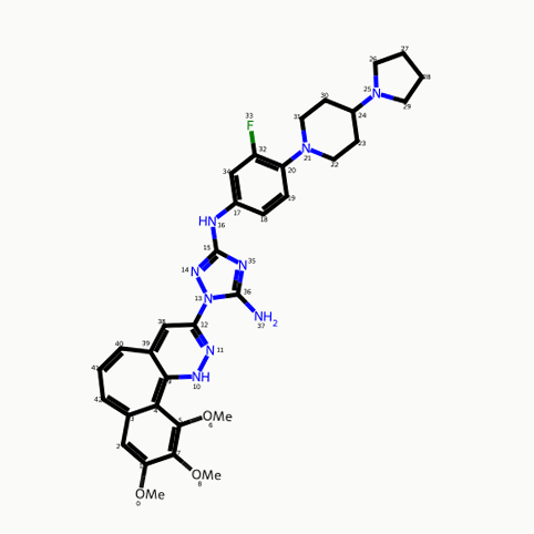 COc1cc2c(c(OC)c1OC)=C1NN=C(n3nc(Nc4ccc(N5CCC(N6CCCC6)CC5)c(F)c4)nc3N)C=C1C=CC=2